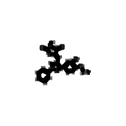 CCCOc1ccc(-c2nn(-c3ccccc3)cc2C=C2SC(=O)N(C)C2=O)cc1Br